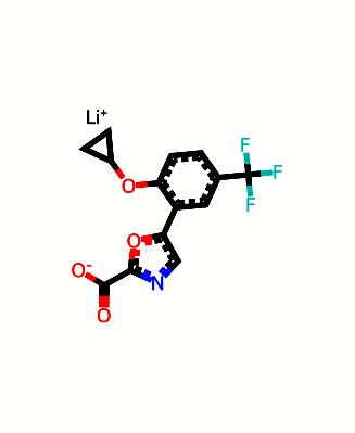 O=C([O-])c1ncc(-c2cc(C(F)(F)F)ccc2OC2CC2)o1.[Li+]